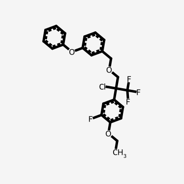 CCOc1ccc(C(Cl)(COCc2cccc(Oc3ccccc3)c2)C(F)(F)F)cc1F